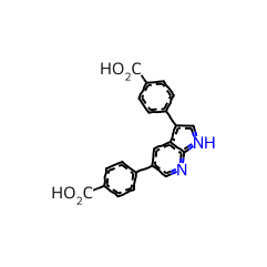 O=C(O)c1ccc(-c2cnc3[nH]cc(-c4ccc(C(=O)O)cc4)c3c2)cc1